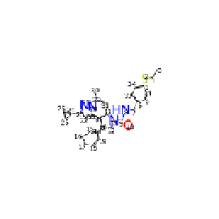 CCSc1ccc(CNC(=O)N2C[C@H](c3ccccc3)[C@@H](c3cc(C4CC4)nn3C(C)C)C2)cc1